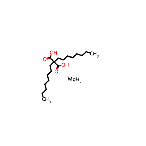 CCCCCCCCC(CCCCCCCC)(C(=O)O)C(=O)O.[MgH2]